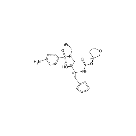 CC(C)CN(C[C@H](O)[C@H](Cc1ccccc1)NC(=O)O[C@H]1CCOC1)S(=O)(=O)c1ccc(N)cc1